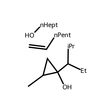 C=CCCCCC.CCC(C(C)C)C1(O)CC1C.CCCCCCCO